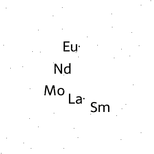 [Eu].[La].[Mo].[Nd].[Sm]